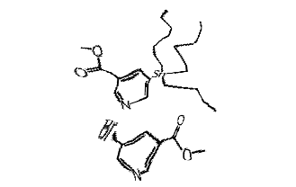 CCC[CH2][Sn]([CH2]CCC)([CH2]CCC)[c]1cncc(C(=O)OC)c1.COC(=O)c1cncc(Br)c1